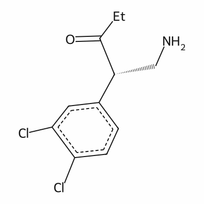 CCC(=O)[C@H](CN)c1ccc(Cl)c(Cl)c1